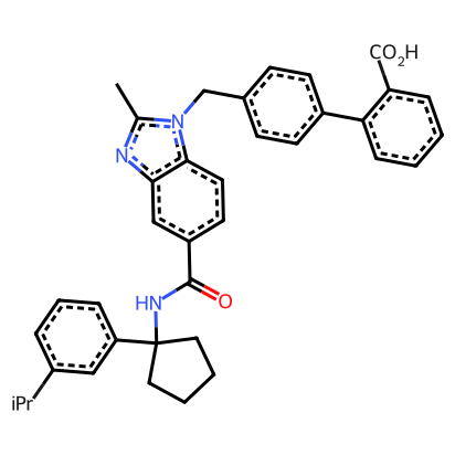 Cc1nc2cc(C(=O)NC3(c4cccc(C(C)C)c4)CCCC3)ccc2n1Cc1ccc(-c2ccccc2C(=O)O)cc1